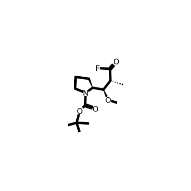 CO[C@H]([C@@H](C)C(=O)F)[C@@H]1CCCN1C(=O)OC(C)(C)C